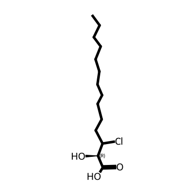 CCCCCCCCCCCC(Cl)[C@H](O)C(=O)O